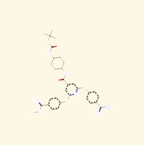 CC(C)(C)OC(=O)NC1CCC(NC(=O)c2cc(Oc3ccc(C(=N)NO)cc3)nc(Oc3ccc(C(=N)NO)cc3)c2)CC1